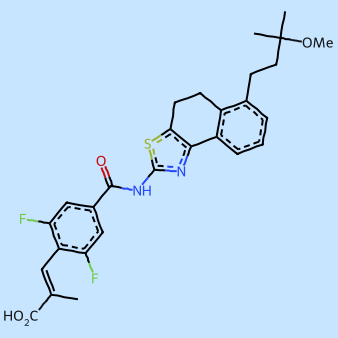 COC(C)(C)CCc1cccc2c1CCc1sc(NC(=O)c3cc(F)c(C=C(C)C(=O)O)c(F)c3)nc1-2